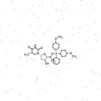 COc1ccc(C(OC(C)[C@@H]2O[C@@H](n3cc(C)c(=O)[nH]c3=O)C[C@@H]2O)(c2ccccc2)c2ccc(OC)cc2)cc1